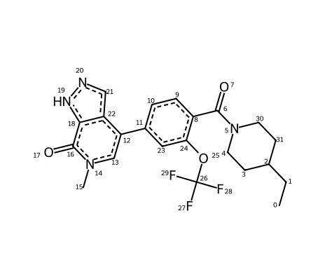 CCC1CCN(C(=O)c2ccc(-c3cn(C)c(=O)c4[nH]ncc34)cc2OC(F)(F)F)CC1